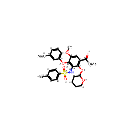 CCOc1cc(C(=O)OC)c(OC2CCCCO2)c(NS(=O)(=O)c2ccc(C(C)(C)C)cc2)c1Oc1cccc(OC)c1